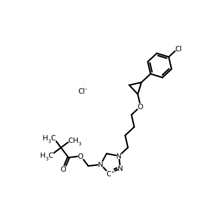 CC(C)(C)C(=O)OCN1[C+]=NN(CCCCOC2CC2c2ccc(Cl)cc2)C1.[Cl-]